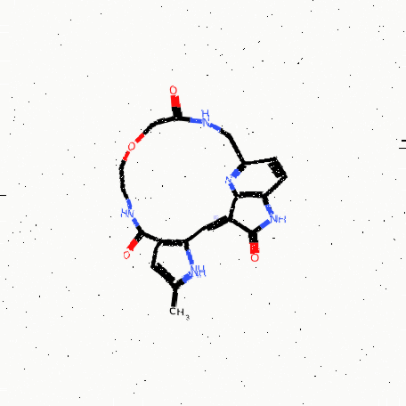 Cc1cc2c([nH]1)/C=C1\C(=O)Nc3ccc(nc31)CNC(=O)COCCNC2=O